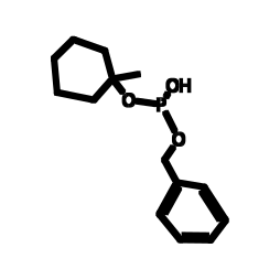 CC1(OP(O)OCc2ccccc2)CCCCC1